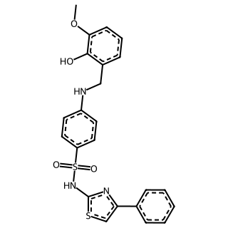 COc1cccc(CNc2ccc(S(=O)(=O)Nc3nc(-c4ccccc4)cs3)cc2)c1O